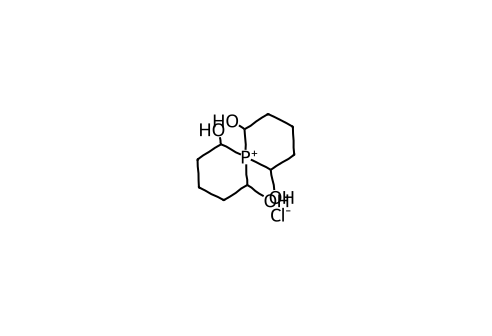 OC1CCCC(O)[P+]12C(O)CCCC2O.[Cl-]